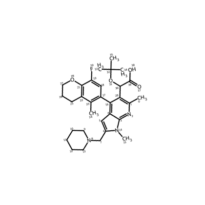 Cc1nc2c(cc(CN3CCCCC3)n2C)c(-c2cc(F)c3c(c2C)CCCO3)c1C(OC(C)(C)C)C(=O)O